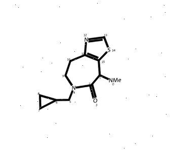 CNC1C(=O)N(CC2CC2)CCc2ncsc21